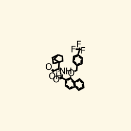 O=C(N[C@H](C(=O)O)C12CCC(CC1)C2)c1ccc2ccccc2c1OCc1ccc(C(F)(F)F)cc1